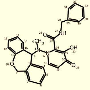 CN(C1c2ccccc2COc2ccccc21)n1ccc(=O)c(O)c1C(=O)NCc1ccccc1